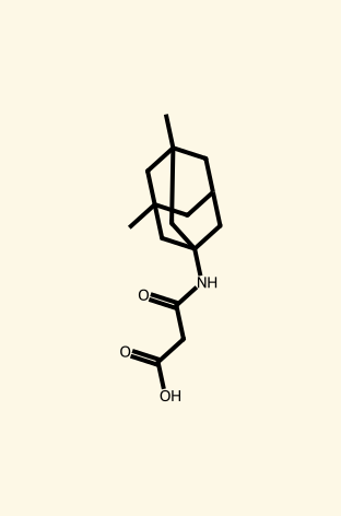 CC12CC3CC(C)(C1)CC(NC(=O)CC(=O)O)(C3)C2